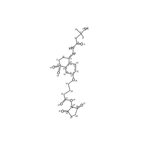 CC(C)(S)CC(=O)N/N=C1\CCS(=O)(=O)c2cc(OCCCC(=O)ON3C(=O)CCC3=O)ccc21